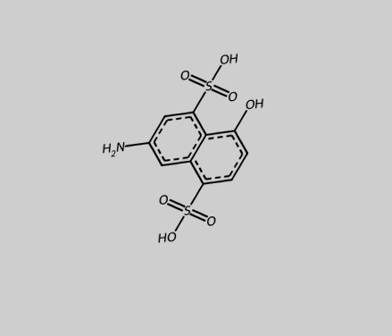 Nc1cc(S(=O)(=O)O)c2c(O)ccc(S(=O)(=O)O)c2c1